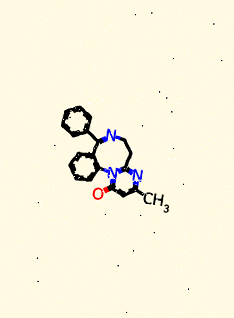 Cc1cc(=O)n2c(n1)CCN=C(c1ccccc1)c1ccccc1-2